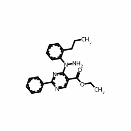 CCCc1ccccc1N(N)c1nc(-c2ccccc2)ncc1C(=O)OCC